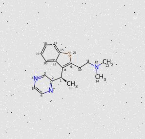 C[C@@H](c1cnccn1)c1c(CCN(C)C)sc2ccccc12